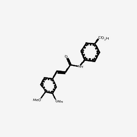 COc1ccc(C=CC(=O)Nc2ccc(C(=O)O)cc2)cc1OC